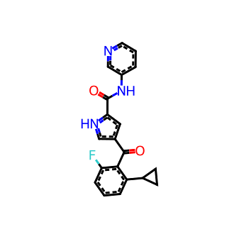 O=C(Nc1cccnc1)c1cc(C(=O)c2c(F)cccc2C2CC2)c[nH]1